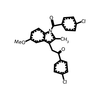 COc1ccc2c(c1)c(CC(=O)c1ccc(Cl)cc1)c(C)n2C(=O)c1ccc(Cl)cc1